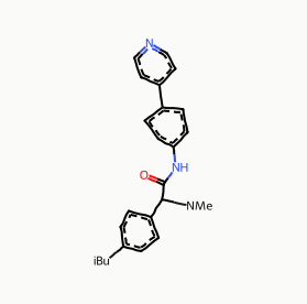 CCC(C)c1ccc(C(NC)C(=O)Nc2ccc(-c3ccncc3)cc2)cc1